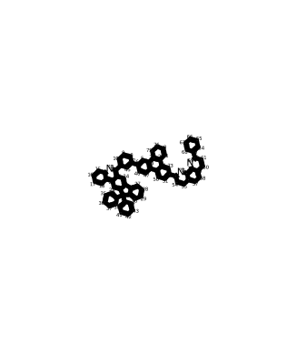 C1=Cc2c(c3cc(-c4cccc(-c5nc6ccccc6c6cc7c(cc56)-c5ccccc5C7(c5ccccc5)c5ccccc5)c4)ccc3c3ccc(-c4ccc5ccc6ccc(-c7ccccc7)nc6c5n4)cc23)CC1